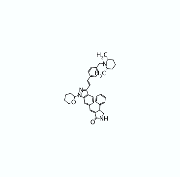 C[C@@H]1CCC[C@H](C)N1Cc1ccc(/C=C/c2nn(C3CCCCO3)c3cc(/C=C4/C(=O)NC[C@@H]4c4ccccc4)ccc23)cc1